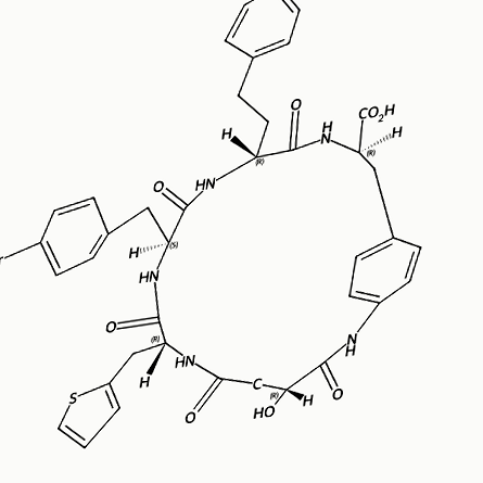 O=C1C[C@@H](O)C(=O)Nc2ccc(cc2)C[C@H](C(=O)O)NC(=O)[C@@H](CCc2ccccc2)NC(=O)[C@H](Cc2ccc(Br)cc2)NC(=O)[C@@H](Cc2cccs2)N1